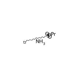 N.[CH2]CCS(=O)(=O)CCCCCCCCCCCCCCC1CCC1